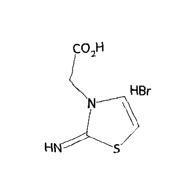 Br.N=c1sccn1CC(=O)O